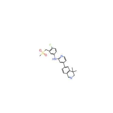 CC1(C)CN=Cc2ccc(-c3ccnc(Nc4ccc(F)c(CS(C)(=O)=O)c4)c3)cc21